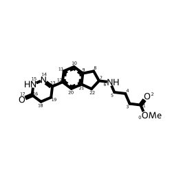 COC(=O)CCCNC1Cc2ccc(C3=NNC(=O)CC3)cc2C1